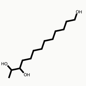 CC(O)C(O)CCCCCCCCCCO